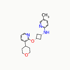 Cc1ccc(N[C@H]2C[C@@H](Oc3ncccc3C3CCOCC3)C2)nc1